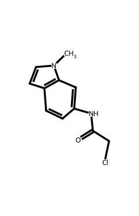 Cn1ccc2ccc(NC(=O)CCl)cc21